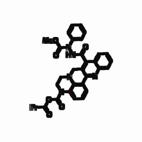 COC(=O)N(NC(=O)c1c(CN2CCN(C(=O)OC(=O)C(C)C)CC2)c(-c2ccccc2)nc2ccccc12)c1ccccc1